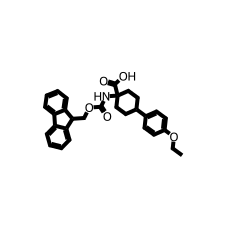 CCOc1ccc(C2CCC(NC(=O)OCC3c4ccccc4-c4ccccc43)(C(=O)O)CC2)cc1